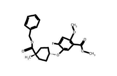 COC(=O)c1cc(O[C@H]2CC[C@@](C)(C(=O)OCc3ccccc3)CC2)c(F)cc1OC